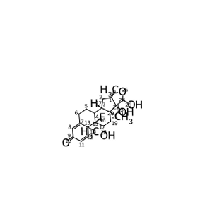 C[C@@H]1C[C@H]2C3CCC4=CC(=O)C=CC4(C)[C@@]3(F)[C@@H](O)CC2(C)[C@@]1(O)C(=O)O